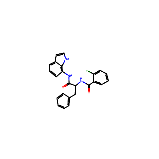 O=C(NC(Cc1ccccc1)C(=O)Nc1cccc2cc[nH]c12)c1ccccc1Cl